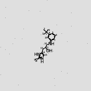 CC(C)(C)c1cccc(NCC(O)Cc2c[nH]c(=S)[nH]2)c1